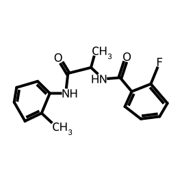 Cc1ccccc1NC(=O)C(C)NC(=O)c1ccccc1F